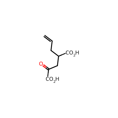 C=CCC(CC(=O)C(=O)O)C(=O)O